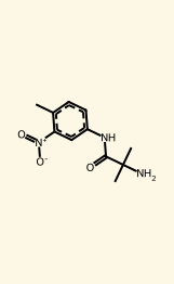 Cc1ccc(NC(=O)C(C)(C)N)cc1[N+](=O)[O-]